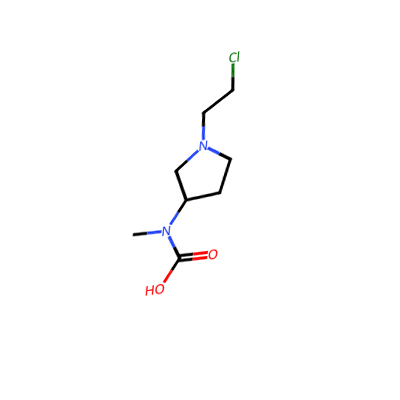 CN(C(=O)O)C1CCN(CCCl)C1